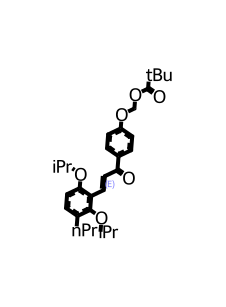 CCCc1ccc(OC(C)C)c(/C=C/C(=O)c2ccc(OCOC(=O)C(C)(C)C)cc2)c1OC(C)C